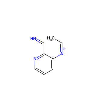 C/C=N\c1cccnc1C=N